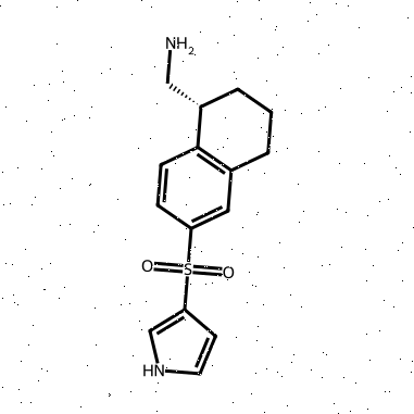 NC[C@@H]1CCCc2cc(S(=O)(=O)c3cc[nH]c3)ccc21